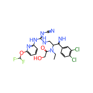 CCN(C(=O)CO)C(CN/C(=N\C#N)Nc1cccc(OC(F)F)n1)C(=N)c1ccc(Cl)c(Cl)c1